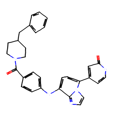 O=C(c1ccc(Nc2ccc(-c3cc[nH]c(=O)c3)n3ccnc23)cc1)N1CCC(Cc2ccccc2)CC1